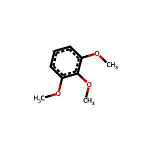 COc1c[c]cc(OC)c1OC